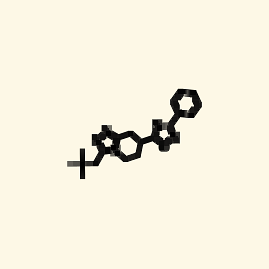 CC(C)(C)Cc1nnc2n1CCC(c1nc(-c3ccccc3)no1)C2